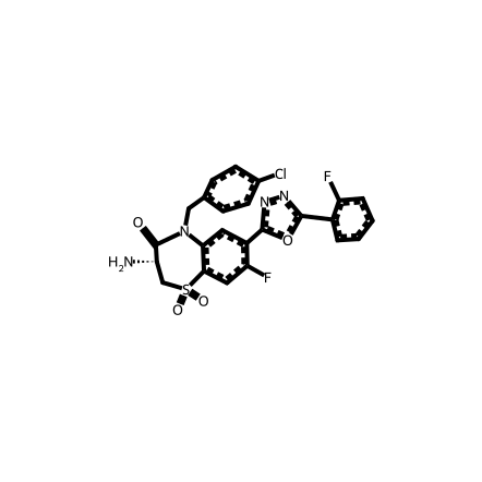 N[C@H]1CS(=O)(=O)c2cc(F)c(-c3nnc(-c4ccccc4F)o3)cc2N(Cc2ccc(Cl)cc2)C1=O